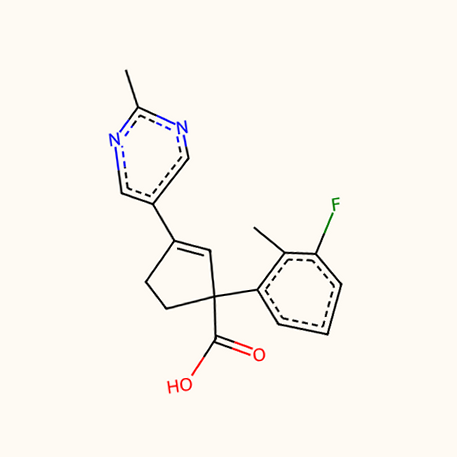 Cc1ncc(C2=CC(C(=O)O)(c3cccc(F)c3C)CC2)cn1